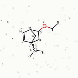 CCOC1CC2([SiH](C)C)C=CC1C2